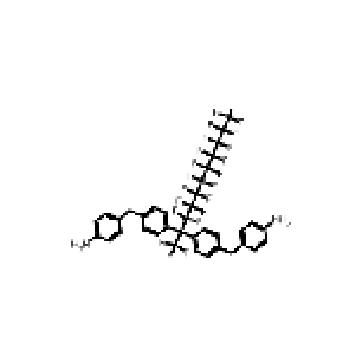 Nc1ccc(Cc2ccc(C(c3ccc(Cc4ccc(N)cc4)cc3)(C(F)(F)F)C(F)(F)C(F)(F)C(F)(F)C(F)(F)C(F)(F)C(F)(F)C(F)(F)C(F)(F)C(F)(F)F)cc2)cc1